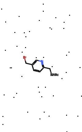 CC(=O)NCc1ccc(CBr)cn1